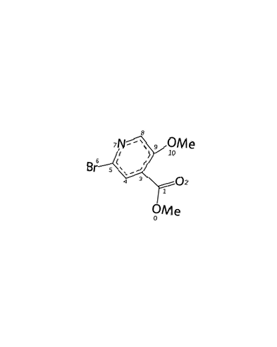 COC(=O)c1cc(Br)ncc1OC